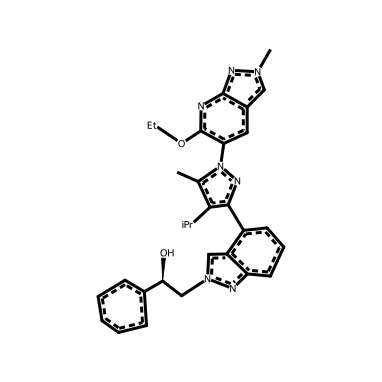 CCOc1nc2nn(C)cc2cc1-n1nc(-c2cccc3nn(C[C@H](O)c4ccccc4)cc23)c(C(C)C)c1C